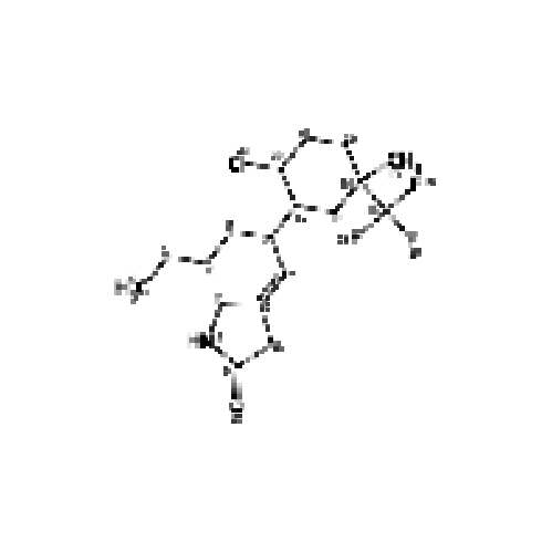 CCCCC(/C=C1\CNC(=O)C1)C1CC(C)(C(F)(F)F)CCC1Cl